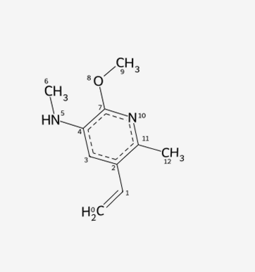 C=Cc1cc(NC)c(OC)nc1C